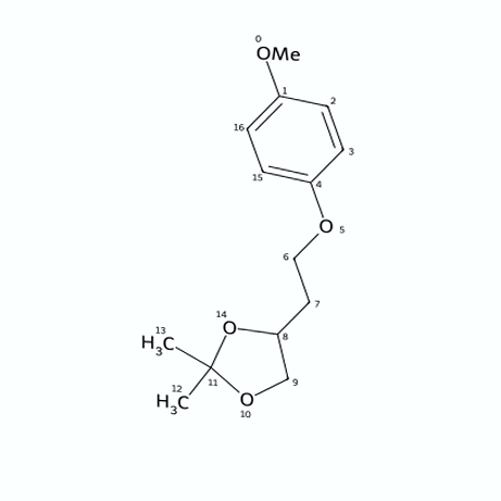 COc1ccc(OCCC2COC(C)(C)O2)cc1